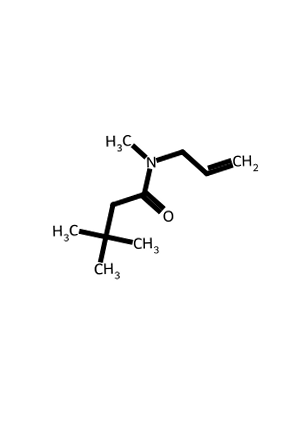 C=CCN(C)C(=O)CC(C)(C)C